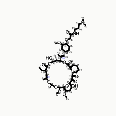 CC[C@@H]1/C=C(\C)C[C@H](C)C[C@H](OC)[C@H]2O[C@@](O)(C(=O)C(=O)N3CCCC[C@H]3C(=O)O[C@H](/C(C)=C/[C@H]3CC[C@@H](OCC(=O)NCCCN(C)C)C(OC)C3)[C@H](C)[C@@H](O)CC1=O)[C@H](C)C[C@@H]2OC